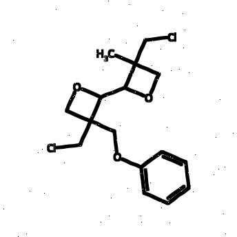 CC1(CCl)COC1C1OCC1(CCl)COc1ccccc1